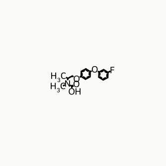 CC(COc1ccc(Oc2cccc(F)c2)cc1)N(C)C(=O)O